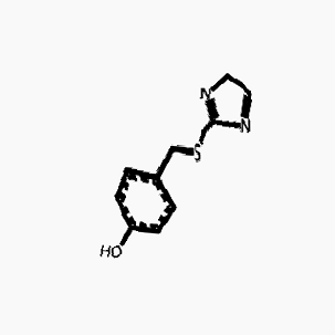 Oc1ccc(CSC2=NCC=N2)cc1